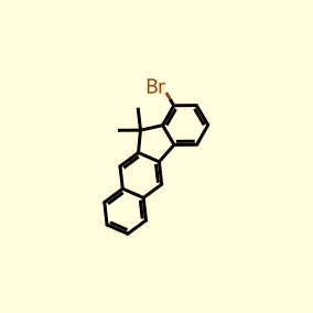 CC1(C)c2cc3ccccc3cc2-c2cccc(Br)c21